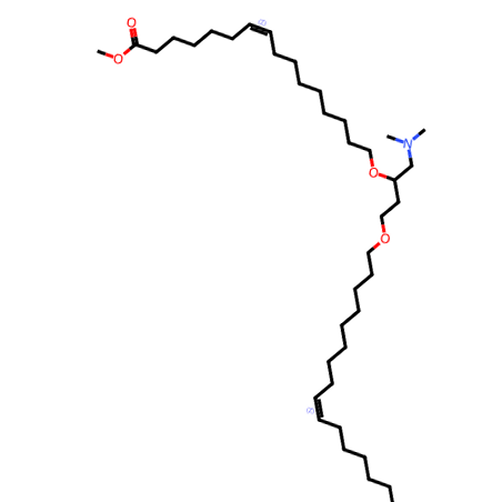 CCCCCC/C=C\CCCCCCCCOCCC(CN(C)C)OCCCCCCCC/C=C\CCCCCC(=O)OC